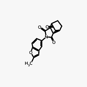 Cc1cc2cc(N3C(=O)C4=C5CCC(C(=O)C5)C4C3=O)ccc2o1